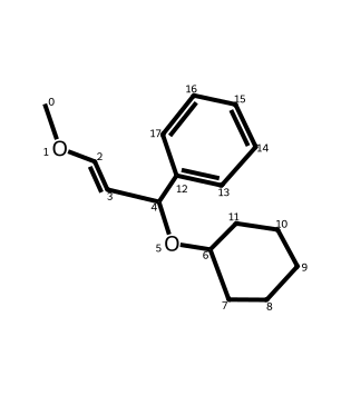 COC=CC(OC1CCCCC1)c1ccccc1